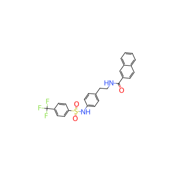 O=C(NCCc1ccc(NS(=O)(=O)c2ccc(C(F)(F)F)cc2)cc1)c1ccc2ccccc2c1